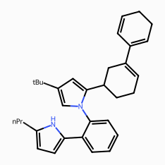 CCCc1ccc(-c2ccccc2-n2cc(C(C)(C)C)cc2C2CCC=C(C3=CCCC=C3)C2)[nH]1